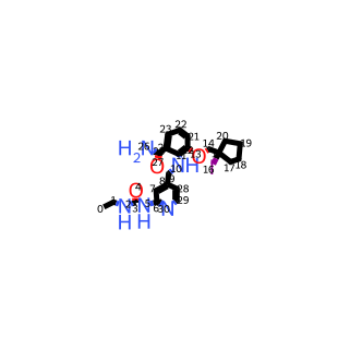 CCNC(=O)Nc1cc(CNc2c(OCC3(I)CCCC3)cccc2C(N)=O)ccn1